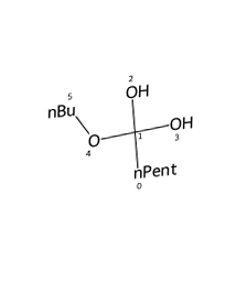 CCCCCC(O)(O)OCCCC